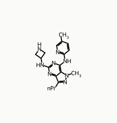 CCCc1nn(C)c2c(Nc3ccc(C)cn3)nc(NC3CNC3)nc12